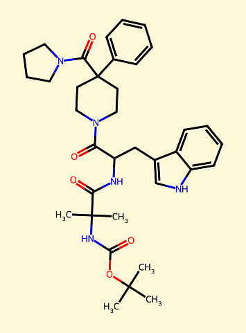 CC(C)(C)OC(=O)NC(C)(C)C(=O)NC(Cc1c[nH]c2ccccc12)C(=O)N1CCC(C(=O)N2CCCC2)(c2ccccc2)CC1